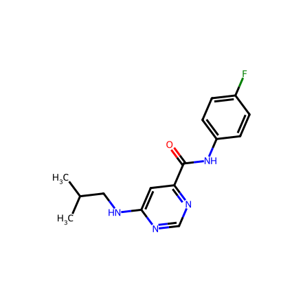 CC(C)CNc1cc(C(=O)Nc2ccc(F)cc2)ncn1